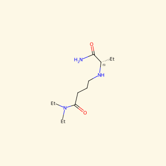 CC[C@H](NCCCC(=O)N(CC)CC)C(N)=O